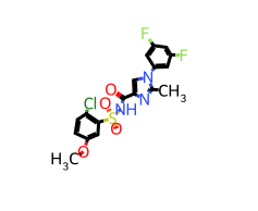 COc1ccc(Cl)c(S(=O)(=O)NC(=O)c2cn(-c3cc(F)cc(F)c3)c(C)n2)c1